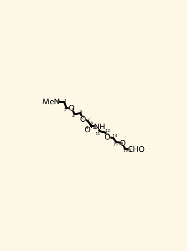 CNCCOCCOCC(=O)NCCOCCOCC=O